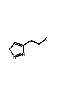 CCSc1csnn1